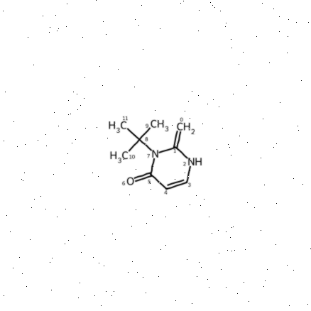 C=C1NC=CC(=O)N1C(C)(C)C